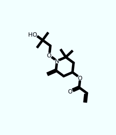 C=CC(=O)OC1CC(=C)N(OCC(C)(C)O)C(C)(C)C1